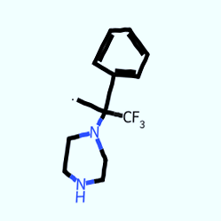 [CH2]C(c1ccccc1)(N1CCNCC1)C(F)(F)F